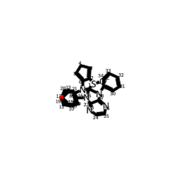 [O-][S+]1C2=CCC=C2N(c2ccccc2)C12N(c1ccccc1)c1nccnc1N2c1ccccc1